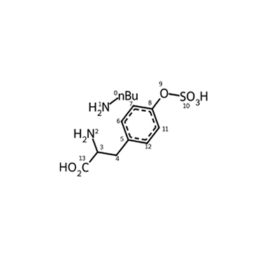 CCCCN.NC(Cc1ccc(OS(=O)(=O)O)cc1)C(=O)O